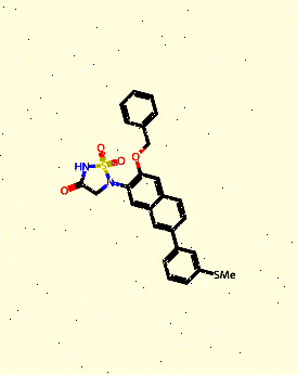 CSc1cccc(-c2ccc3cc(OCc4ccccc4)c(N4CC(=O)NS4(=O)=O)cc3c2)c1